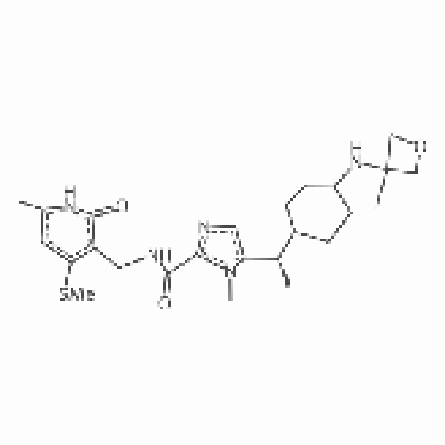 CSc1cc(C)[nH]c(=O)c1CNC(=O)c1ncc([C@H](C)C2CCC(NC3(C)COC3)CC2)n1C